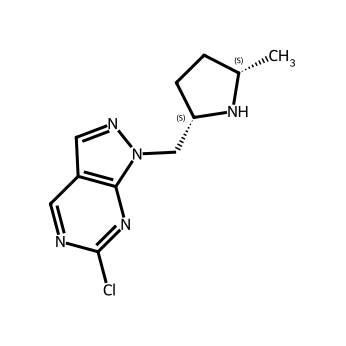 C[C@H]1CC[C@@H](Cn2ncc3cnc(Cl)nc32)N1